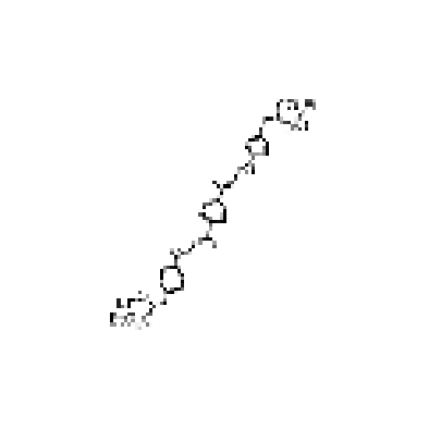 CCOC(=O)C(Cc1ccc(OC/C=C(\C)c2ccc(/C(C)=C/COc3ccc(CC(OCC)C(=O)OCC)cc3)cc2)cc1)OCC